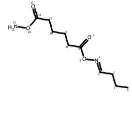 CCCC=NOC(=O)CCCCC(=O)ON